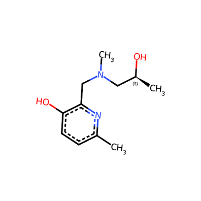 Cc1ccc(O)c(CN(C)C[C@H](C)O)n1